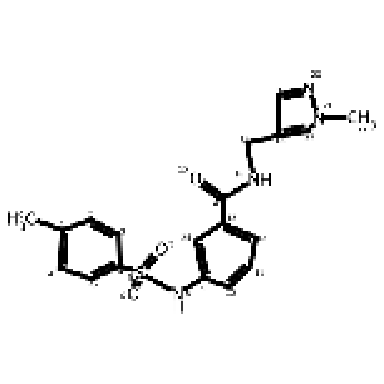 Cc1ccc(S(=O)(=O)Nc2cccc(C(=O)NCc3cnn(C)c3)c2)cc1